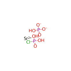 O=P(O)(O)Cl.O=P([O-])([O-])O.[Sr+2]